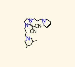 CC1CC(C)CN(CCCN2CCN(CCCN3CC=CCC3)C2=C(C#N)C#N)C1